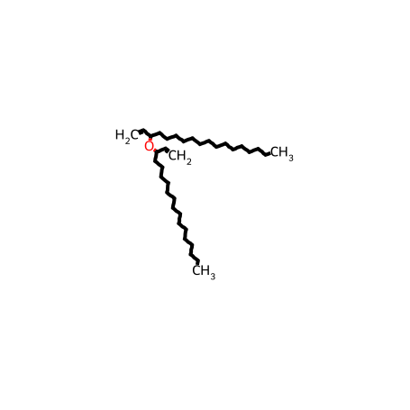 C=CC(CCCCCCCCCCCCCCC)OC(C=C)CCCCCCCCCCCCCCC